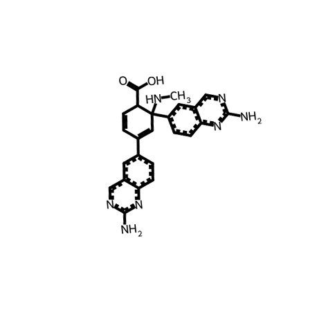 CNC1(c2ccc3nc(N)ncc3c2)C=C(c2ccc3nc(N)ncc3c2)C=CC1C(=O)O